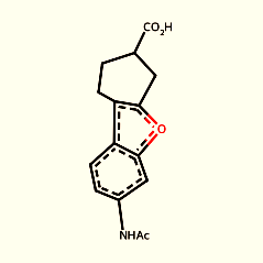 CC(=O)Nc1ccc2c3c(oc2c1)CC(C(=O)O)CC3